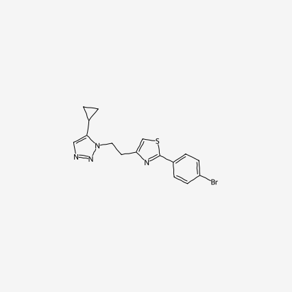 Brc1ccc(-c2nc(CCn3nncc3C3CC3)cs2)cc1